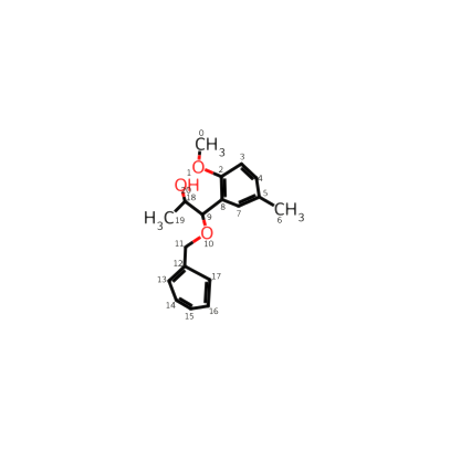 COc1ccc(C)cc1C(OCc1ccccc1)C(C)O